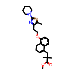 COC(=O)C(C)(C)CC1=CCCc2c(OCCc3nc(N4CCCCC4)sc3C)cccc21